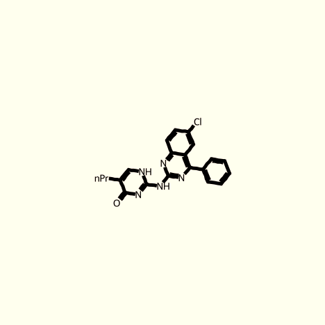 CCCc1c[nH]c(Nc2nc(-c3ccccc3)c3cc(Cl)ccc3n2)nc1=O